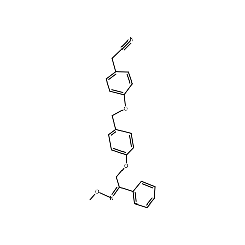 CO/N=C(\COc1ccc(COc2ccc(CC#N)cc2)cc1)c1ccccc1